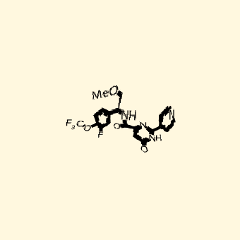 COC[C@@H](NC(=O)c1cc(=O)[nH]c(-c2ccncc2)n1)c1ccc(OC(F)(F)F)c(F)c1